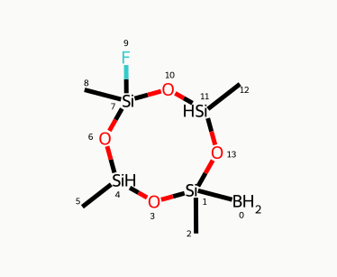 B[Si]1(C)O[SiH](C)O[Si](C)(F)O[SiH](C)O1